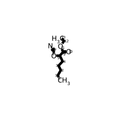 CCCCCC(OC#N)C(=O)OCC